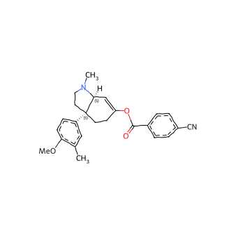 COc1ccc([C@@]23CCC(OC(=O)c4ccc(C#N)cc4)=C[C@@H]2N(C)CC3)cc1C